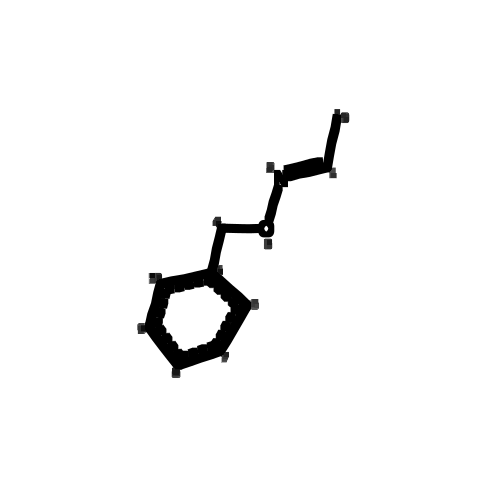 [CH2]C=NOCc1ccccc1